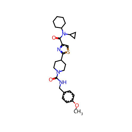 COc1ccc(CNC(=O)N2CCC(c3nc(C(=O)N(C4CCCCC4)C4CC4)cs3)CC2)cc1